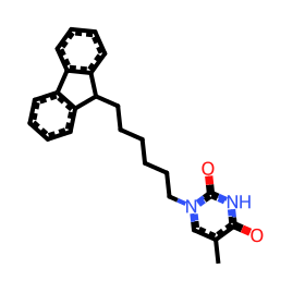 Cc1cn(CCCCCCC2c3ccccc3-c3ccccc32)c(=O)[nH]c1=O